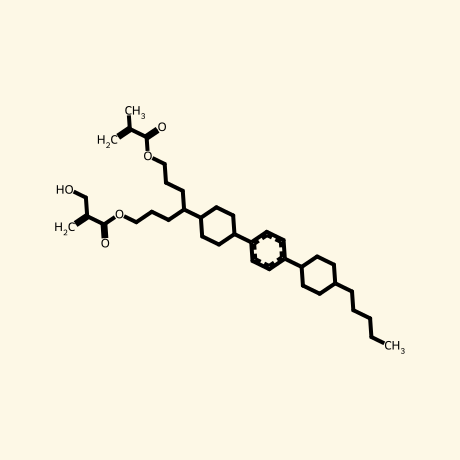 C=C(C)C(=O)OCCCC(CCCOC(=O)C(=C)CO)C1CCC(c2ccc(C3CCC(CCCCC)CC3)cc2)CC1